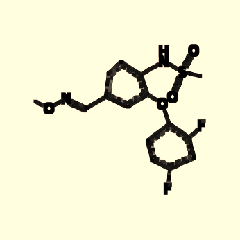 CON=Cc1ccc(NS(C)(=O)=O)c(Oc2ccc(F)cc2F)c1